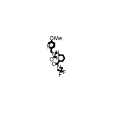 COc1ccc(Cn2nc3n(c2=O)C(C(=O)N2CC(F)(F)C2)CCC3)nc1